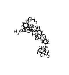 C=C(F)C(=O)NCc1ccc(Oc2cc(OC)c3c(NS(=O)(=O)c4cc(CC)ccc4OC)noc3c2)nc1